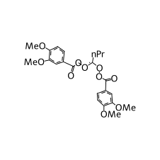 [CH2]CC[C](OOC(=O)c1ccc(OC)c(OC)c1)OOC(=O)c1ccc(OC)c(OC)c1